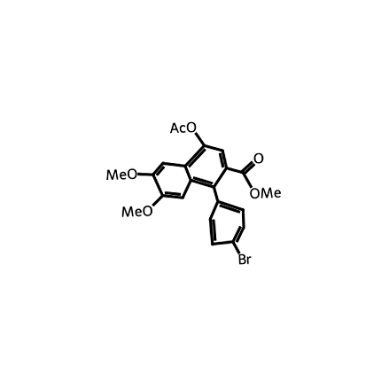 COC(=O)c1cc(OC(C)=O)c2cc(OC)c(OC)cc2c1-c1ccc(Br)cc1